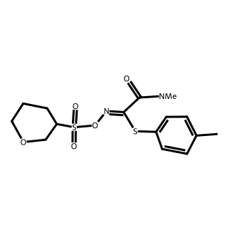 CNC(=O)/C(=N/OS(=O)(=O)C1CCCOC1)Sc1ccc(C)cc1